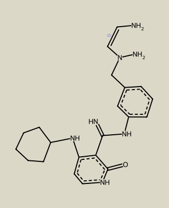 N=C(Nc1cccc(CN(N)/C=C\N)c1)c1c(NC2CCCCC2)cc[nH]c1=O